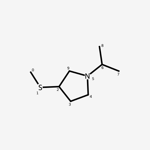 CSC1CCN(C(C)C)C1